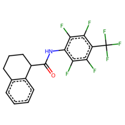 O=C(Nc1c(F)c(F)c(C(F)(F)F)c(F)c1F)C1CCCc2ccccc21